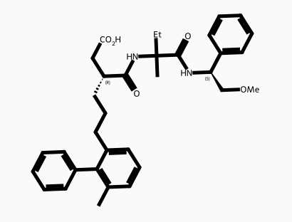 CCC(C)(NC(=O)[C@H](CCCc1cccc(C)c1-c1ccccc1)CC(=O)O)C(=O)N[C@H](COC)c1ccccc1